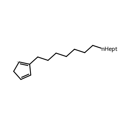 CCCCCCCCCCCCCCC1=[C]CC=C1